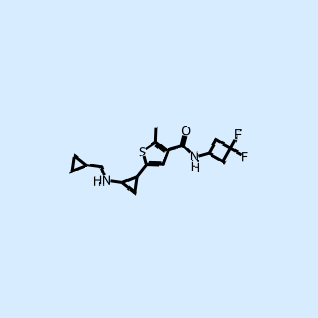 Cc1sc(C2CC2NCC2CC2)cc1C(=O)NC1CC(F)(F)C1